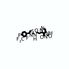 Cn1c(=O)[nH]c2cnnc(CC(=O)Nc3nc(-c4ccc(F)c(C(F)(F)F)c4F)cs3)c2c1=O